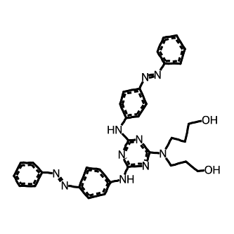 OCCCN(CCCO)c1nc(Nc2ccc(N=Nc3ccccc3)cc2)nc(Nc2ccc(N=Nc3ccccc3)cc2)n1